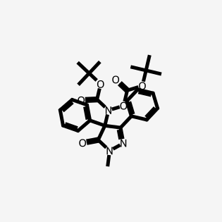 CN1N=C(c2ccccc2)C(c2ccccc2)(N(OC(=O)OC(C)(C)C)C(=O)OC(C)(C)C)C1=O